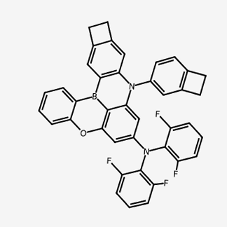 Fc1cccc(F)c1N(c1cc2c3c(c1)N(c1ccc4c(c1)CC4)c1cc4c(cc1B3c1ccccc1O2)CC4)c1c(F)cccc1F